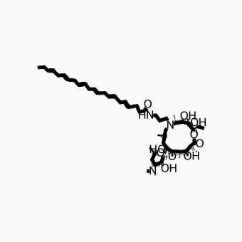 CCC=CCC=CCC=CCC=CCC=CCC=CCCC(=O)NCCCN1C[C@H](C)C[C@@](C)(O)[C@H](O[C@H]2O[C@H](C)C[C@H](N(C)C)[C@H]2O)[C@@H](C)[C@H](O)[C@@H](C)C(=O)O[C@H](CC)[C@@](C)(O)[C@H](O)[C@H]1C